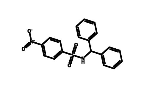 O=[N+]([O-])c1ccc(S(=O)(=O)NC(c2ccccc2)c2ccccc2)cc1